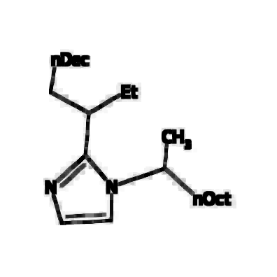 CCCCCCCCCCCC(CC)c1nccn1C(C)CCCCCCCC